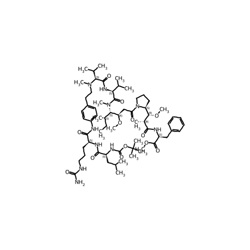 CC[C@H](C)[C@@H]([C@@H](CC(=O)N1CCC[C@H]1[C@H](OC)[C@@H](C)C(=O)N[C@@H](Cc1ccccc1)C(=O)OC)OC)N(C)C(=O)[C@@H](NC(=O)[C@H](C(C)C)N(C)CCc1ccc(NC(=O)[C@H](CCCNC(N)=O)NC(=O)[C@H](CC(C)C)NC(=O)OC(C)(C)C)cc1)C(C)C